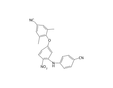 Cc1cc(C#N)cc(C)c1Oc1ccc([N+](=O)[O-])c(Nc2ccc(C#N)cc2)c1